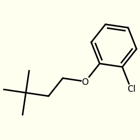 CC(C)(C)CCOc1ccccc1Cl